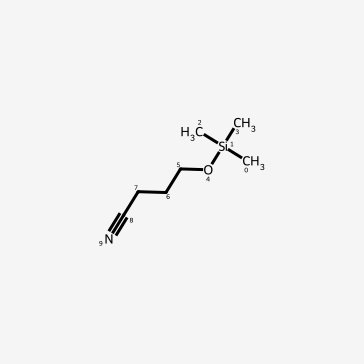 C[Si](C)(C)OCCCC#N